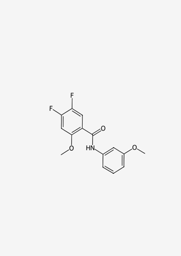 COc1cccc(NC(=O)c2cc(F)c(F)cc2OC)c1